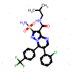 CC(C)CNC(=O)c1c(S(N)(=O)=O)nn2c(-c3ccc(C(F)(F)F)cc3)c(-c3ccccc3Cl)cnc12